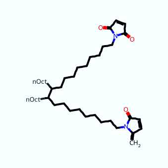 C=C1C=CC(=O)N1CCCCCCCCCC(CCCCCCCC)C(CCCCCCCC)CCCCCCCCCN1C(=O)C=CC1=O